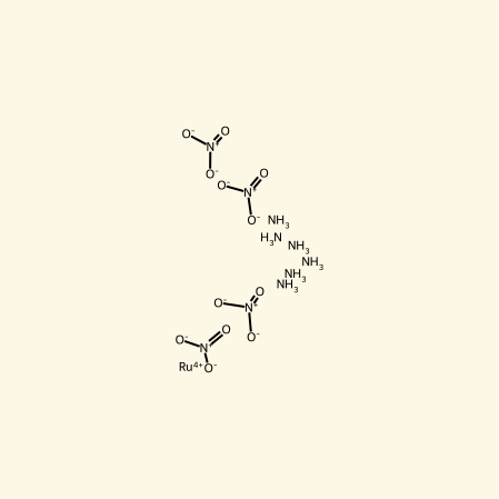 N.N.N.N.N.N.O=[N+]([O-])[O-].O=[N+]([O-])[O-].O=[N+]([O-])[O-].O=[N+]([O-])[O-].[Ru+4]